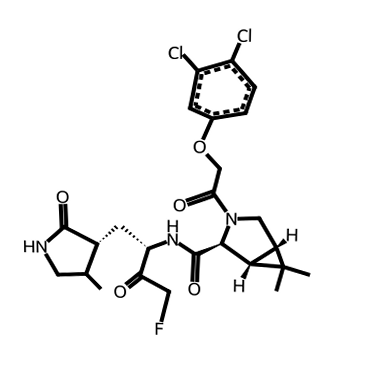 CC1CNC(=O)[C@@H]1C[C@H](NC(=O)[C@@H]1[C@@H]2[C@H](CN1C(=O)COc1ccc(Cl)c(Cl)c1)C2(C)C)C(=O)CF